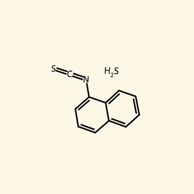 S.S=C=Nc1cccc2ccccc12